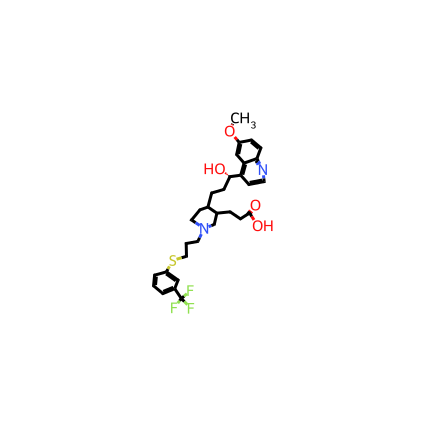 COc1ccc2nccc([C@@H](O)CCC3CCN(CCCSc4cccc(C(F)(F)F)c4)CC3CCC(=O)O)c2c1